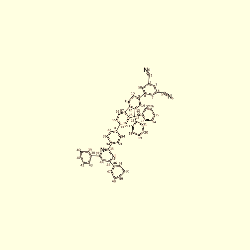 N#Cc1cc(C#N)cc(-c2ccc3c(c2)C(c2ccccc2)(c2ccccc2)c2cc(-c4ccc(-c5nc(-c6ccccc6)cc(-c6ccccc6)n5)cc4)ccc2-3)c1